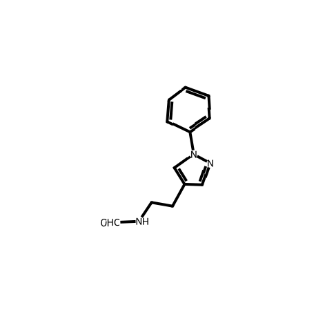 O=CNCCc1cnn(-c2ccccc2)c1